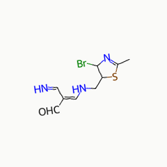 CC1=NC(Br)C(CN/C=C(\C=N)C=O)S1